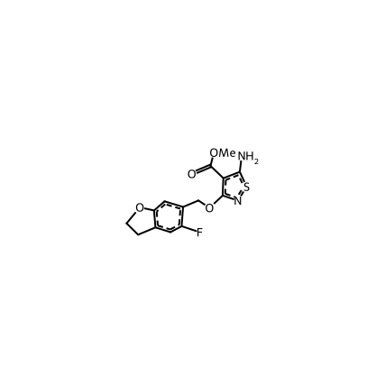 COC(=O)c1c(OCc2cc3c(cc2F)CCO3)nsc1N